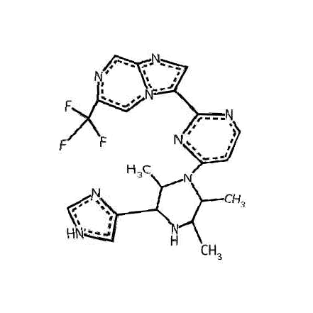 CC1NC(c2c[nH]cn2)C(C)N(c2ccnc(-c3cnc4cnc(C(F)(F)F)cn34)n2)C1C